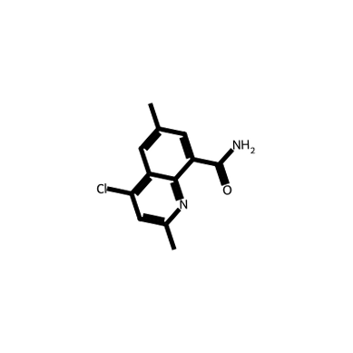 Cc1cc(C(N)=O)c2nc(C)cc(Cl)c2c1